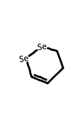 C1=C[Se][Se]CC1